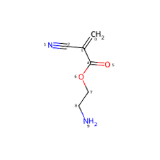 C=C(C#N)C(=O)OCCN